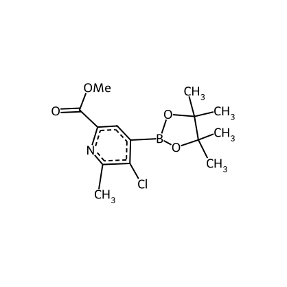 COC(=O)c1cc(B2OC(C)(C)C(C)(C)O2)c(Cl)c(C)n1